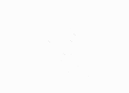 O=C1C2C3CC(O)C(O3)C2C(=O)N1C1c2n[nH]c(=O)c3cc(F)cc(c23)NC1c1ccc(F)cc1